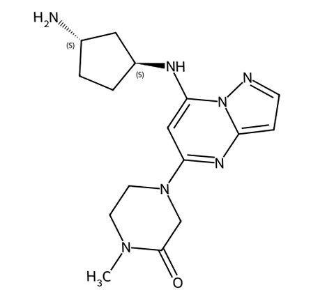 CN1CCN(c2cc(N[C@H]3CC[C@H](N)C3)n3nccc3n2)CC1=O